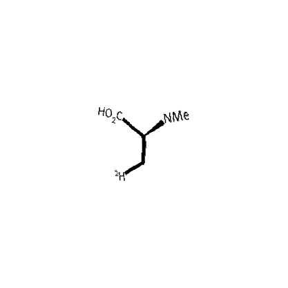 [2H]C[C@H](NC)C(=O)O